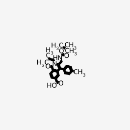 Cc1ccc(-c2c(CNC(=O)OC(C)(C)C)n(CC(C)C)c(=O)c3ccc(C(=O)O)cc23)cc1